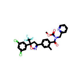 COC(=O)N(Cc1ccccn1)C(=O)c1ccc(C2=NOC(c3cc(Cl)cc(Cl)c3)(C(F)(F)F)C2)cc1C